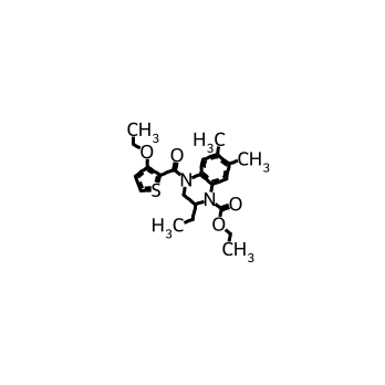 CCOC(=O)N1c2cc(C)c(C)cc2N(C(=O)c2sccc2OCC)CC1CC